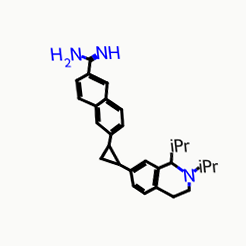 CC(C)C1c2cc(C3CC3c3ccc4cc(C(=N)N)ccc4c3)ccc2CCN1C(C)C